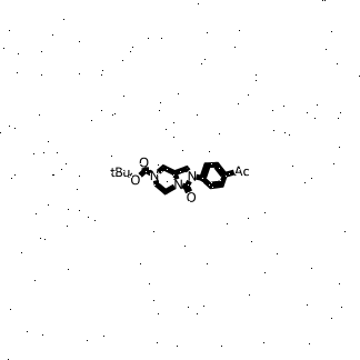 CC(=O)c1ccc(N2CC3CN(C(=O)OC(C)(C)C)CCN3C2=O)cc1